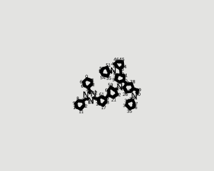 c1ccc(-c2nc(-c3ccccc3)nc(-c3cccc(-c4ccc(-n5c6cc7c(ccn7-c7ccccc7)cc6c6cc7c8ccccc8n(-c8ccccc8)c7cc65)cc4)c3)n2)cc1